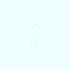 Cc1cc(C2CC2)cc(C)c1NNc1c(C)cc(C2CC2)cc1C